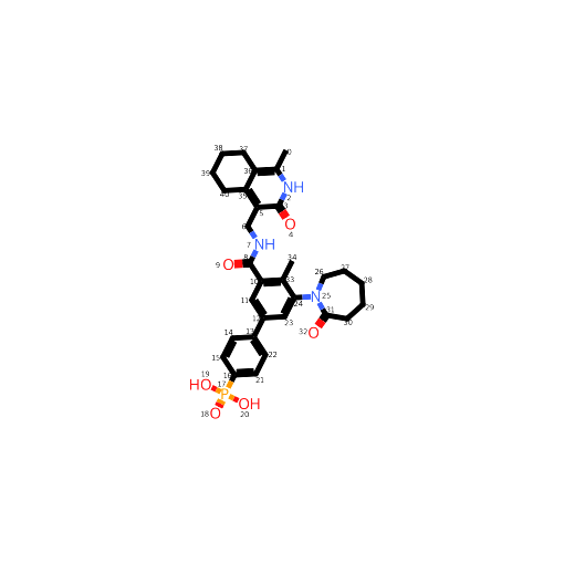 Cc1[nH]c(=O)c(CNC(=O)c2cc(-c3ccc(P(=O)(O)O)cc3)cc(N3CCCCCC3=O)c2C)c2c1CCCC2